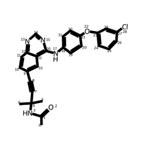 CC(=O)NC(C)(C)C#Cc1ccc2ncnc(Nc3ccc(Oc4cccc(Cl)c4)cc3)c2c1